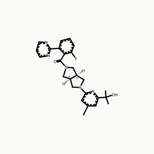 Cc1cc(N2C[C@H]3CN(C(=O)c4c(F)cccc4-c4ncccn4)C[C@H]3C2)nc(C(C)(C)O)c1